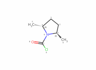 C[C@@H]1CC[C@@H](C)N1C(=O)Cl